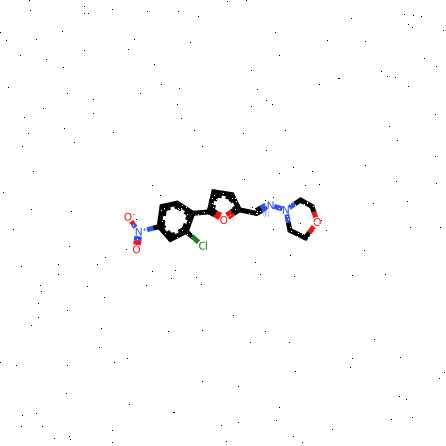 O=[N+]([O-])c1ccc(-c2ccc(/C=N/N3CCOCC3)o2)c(Cl)c1